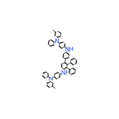 Cc1cccc(N(c2ccccc2)c2ccc(Nc3ccc(-c4ccc(Nc5ccc(N(c6ccccc6)c6cccc(C)c6)cc5)c(-c5ccccc5)c4-c4ccccc4)cc3)cc2)c1